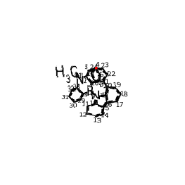 CN1c2ccccc2B(n2c3ccccc3c3cccc(-c4ccccc4)c32)c2ccccc21